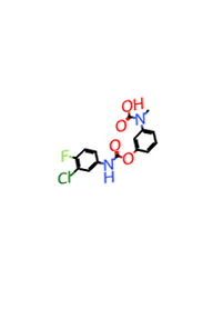 CN(C(=O)O)c1cccc(OC(=O)Nc2ccc(F)c(Cl)c2)c1